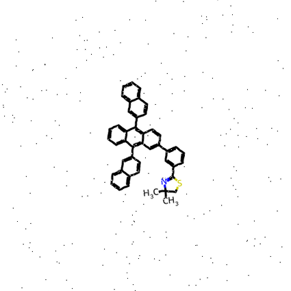 CC1(C)CSC(c2cccc(-c3ccc4c(-c5ccc6ccccc6c5)c5ccccc5c(-c5ccc6ccccc6c5)c4c3)c2)=N1